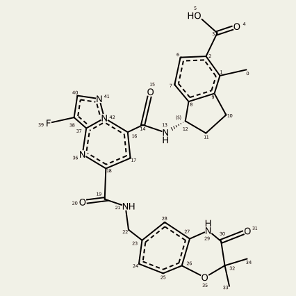 Cc1c(C(=O)O)ccc2c1CC[C@@H]2NC(=O)c1cc(C(=O)NCc2ccc3c(c2)NC(=O)C(C)(C)O3)nc2c(F)cnn12